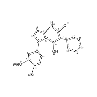 COc1cc(-c2csc3[nH]c(=O)c(-c4ccccc4)c(O)c23)ccc1Br